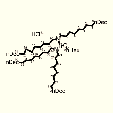 CCCCCCCCCCCCCCCCCC[N](CCCCCCCCCCCCCCCCCC)[Ti]([O]CCCCCC)[N](CCCCCCCCCCCCCCCCCC)CCCCCCCCCCCCCCCCCC.Cl